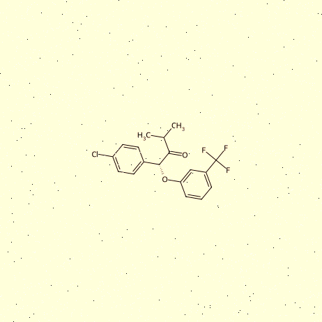 CC(C)C(=O)[C@H](Oc1cccc(C(F)(F)F)c1)c1ccc(Cl)cc1